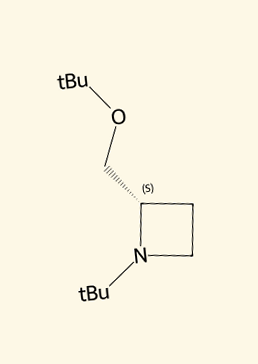 CC(C)(C)OC[C@@H]1CCN1C(C)(C)C